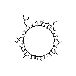 C/C=C/C[C@@H](C)[C@@H](O)[C@H]1C(=O)N[C@H](CC)C(=O)N(C)[C@H](SCCN(CC)CC)C(=O)N(C)[C@@H](CC(C)(C)OC)C(=O)N[C@H](C(C)C)C(=O)N(C)[C@H](CC(C)C)C(=O)N[C@H](C)C(=O)N[C@@H](C)C(=O)N(C)[C@@H](C=C(C)C)C(=O)N(C)[C@H](CC(C)C)C(=O)N(C)[C@H](C(C)C)C(=O)N1C